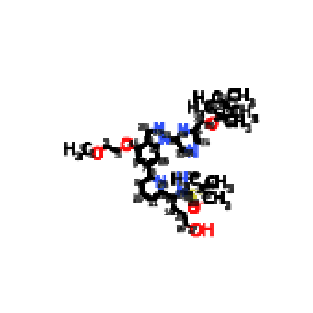 COCCOc1cc(-c2cccc([C@H](CCCO)N[S@+]([O-])C(C)(C)C)n2)cc2c1cnn2-c1cncc(CO[Si](C)(C)C(C)(C)C)n1